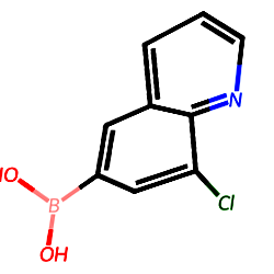 OB(O)c1cc(Cl)c2ncccc2c1